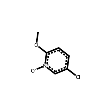 COc1ccc(Cl)c[n+]1[O-]